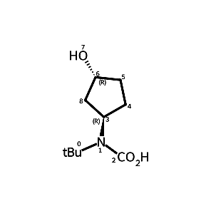 CC(C)(C)N(C(=O)O)[C@@H]1CC[C@@H](O)C1